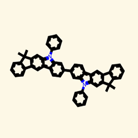 CC1(C)c2ccccc2-c2cc3c4ccc(-c5ccc6c7cc8c(cc7n(-c7ccccc7)c6c5)C(C)(C)c5ccccc5-8)cc4n(-c4ccccc4)c3cc21